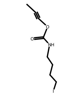 CC#COC(=O)NCCCCI